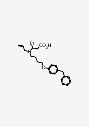 C=CCN(CCCCOc1ccc(Cc2ccccc2)cc1)C(CC)CC(=O)O